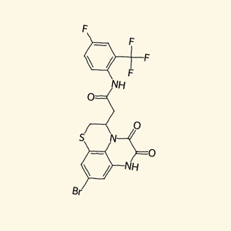 O=C(CC1CSc2cc(Br)cc3[nH]c(=O)c(=O)n1c23)Nc1ccc(F)cc1C(F)(F)F